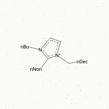 CCCCCCCCCCC[n+]1ccn(CCCC)c1CCCCCCCCC